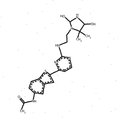 CC(=O)Nc1ccc2sc(-c3ccnc(NCCN4C(O)NC(O)C4(C)C)n3)cc2c1